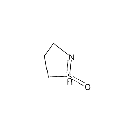 O=[SH]1=NCCC1